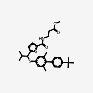 COC(=O)CCNC(=O)c1ccc(C(Sc2cc(C)c(-c3ccc(C(C)(C)C)cc3)c(C)c2)C(C)C)s1